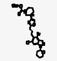 CC(C)(C)OC(=O)N1CCC[C@@H](c2coc(CCCc3c(Cl)cc4c(cnn4C4CCCCO4)c3Br)n2)C1